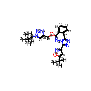 [2H]C([2H])([2H])c1cc(-c2nnc3c4ccccc4c(OCc4cn(C([2H])([2H])C([2H])([2H])[2H])nn4)nn23)no1